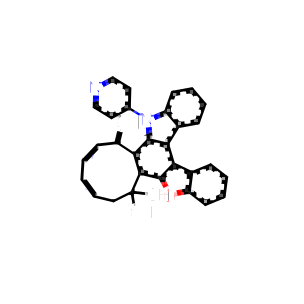 C=C1/C=C\C=C/CC(C)(C)c2c1c1c(c3ccccc3n1-c1ccncc1)c1c2oc2ccccc21